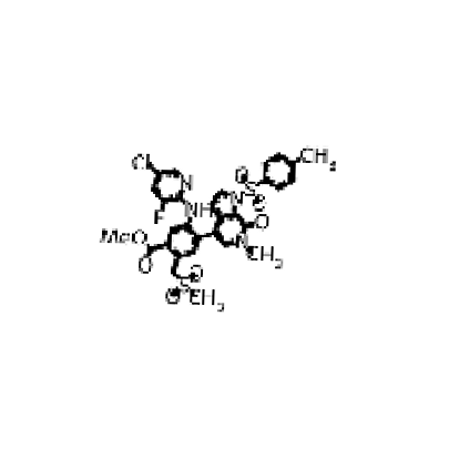 COC(=O)c1cc(Nc2ncc(Cl)cc2F)c(-c2cn(C)c(=O)c3c2ccn3S(=O)(=O)c2ccc(C)cc2)cc1CS(C)(=O)=O